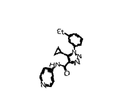 CCc1cccc(-n2nnc(C(=O)Nc3ccncc3)c2C2CC2)c1